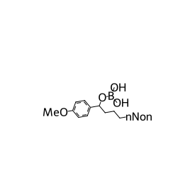 CCCCCCCCCCCCC(OB(O)O)c1ccc(OC)cc1